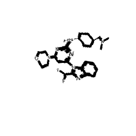 CN(C)C[C@H]1CC[C@H](Nc2nc(N3CCOCC3)cc(-n3c(C(F)F)nc4ccccc43)n2)CC1